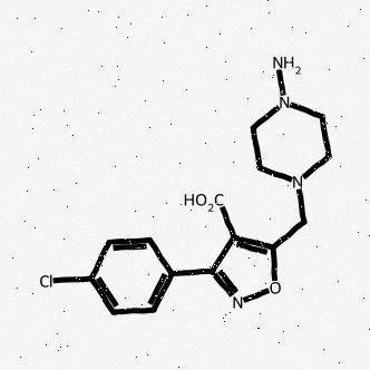 NN1CCN(Cc2onc(-c3ccc(Cl)cc3)c2C(=O)O)CC1